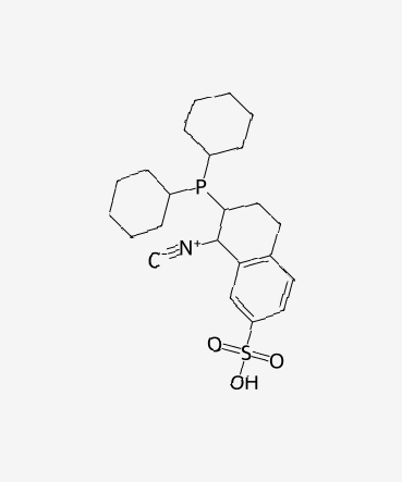 [C-]#[N+]C1c2cc(S(=O)(=O)O)ccc2CCC1P(C1CCCCC1)C1CCCCC1